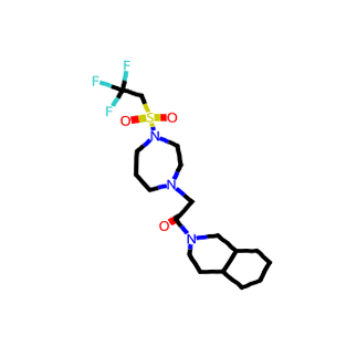 O=C(CN1CCCN(S(=O)(=O)CC(F)(F)F)CC1)N1CCC2CCCCC2C1